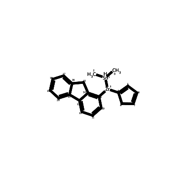 [CH3][SnH]([CH3])[Zr]([C]1=CC=CC1)[c]1cccc2c1Cc1ccccc1-2